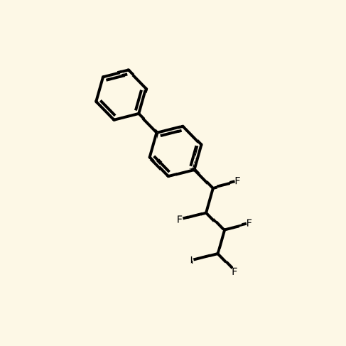 FC(I)C(F)C(F)C(F)c1ccc(-c2ccccc2)cc1